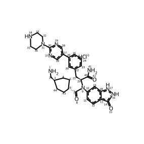 Cl.NC[C@H]1CC[C@H](C(=O)N(c2ccc3c(=O)[nH][nH]c3c2)[C@@H](Cc2cccc(-c3cnc(N4CCNCC4)nc3)c2)C(N)=O)CC1